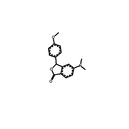 COc1ccc(C2OC(=O)c3ccc(N(C)C)cc32)cc1